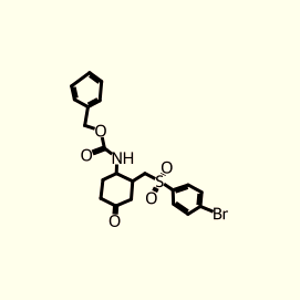 O=C1CCC(NC(=O)OCc2ccccc2)C(CS(=O)(=O)c2ccc(Br)cc2)C1